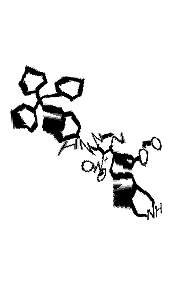 O=COC(CC1CCNCC1)c1ncnc(Nc2ccc(C(c3ccccc3)(c3ccccc3)c3ccccc3)cc2)c1[N+](=O)[O-]